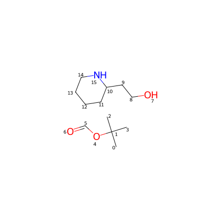 CC(C)(C)OC=O.OCCC1CCCCN1